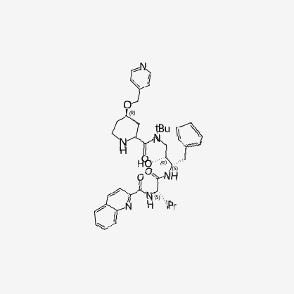 CC(C)[C@H](NC(=O)c1ccc2ccccc2n1)C(=O)N[C@@H](Cc1ccccc1)[C@H](O)CN(C(=O)C1C[C@H](OCc2ccncc2)CCN1)C(C)(C)C